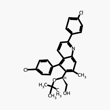 Cc1cc2nc(-c3ccc(Cl)cc3)ccc2c(-c2ccc(Cl)cc2)c1[C@@H](CO)OC(C)(C)C